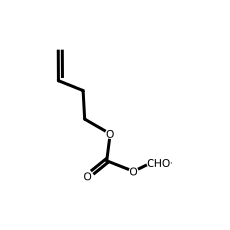 C=CCCOC(=O)O[C]=O